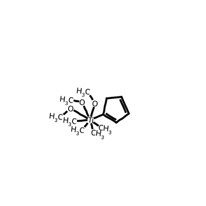 C[O][Ti]([CH3])([CH3])([CH3])([CH3])([O]C)([O]C)[C]1=CC=CC1